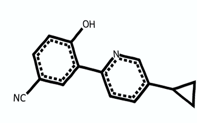 N#Cc1ccc(O)c(-c2ccc(C3CC3)cn2)c1